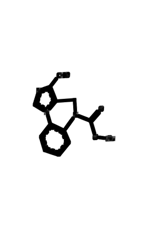 CC(C)(C)OC(=O)N1Cc2c(C=O)ncn2-c2ccccc21